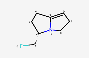 FC[C@@H]1CCC2=CCCN21